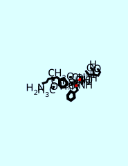 COc1ccc(S(=O)(=O)[C@@](C)(O)[C@](N)(Cc2ccccc2)NC(=O)O[C@@H]2CO[C@@H]3OCC[C@@H]32)cc1CC(C)(C)CCCN